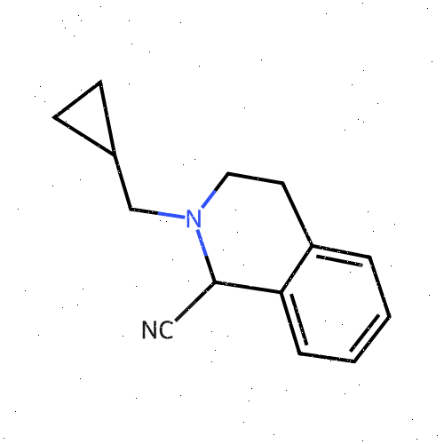 N#CC1c2ccccc2CCN1CC1CC1